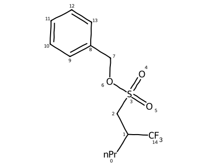 CCCC(CS(=O)(=O)OCc1ccccc1)C(F)(F)F